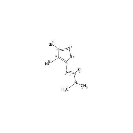 CN(C)/C(Cl)=N/c1snc(C(C)(C)C)c1C#N